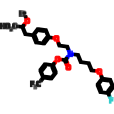 CCOC(Cc1ccc(OCCN(CCCCOc2ccc(F)cc2)C(=O)Oc2ccc(C(F)(F)F)cc2)cc1)C(=O)O